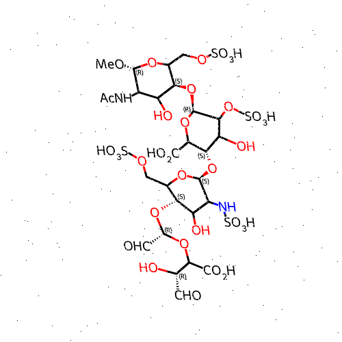 CO[C@@H]1OC(COS(=O)(=O)O)[C@@H](O[C@@H]2OC(C(=O)O)[C@@H](O[C@@H]3OC(COS(=O)(=O)O)[C@@H](O[C@@H](C=O)OC(C(=O)O)[C@@H](O)C=O)C(O)C3NS(=O)(=O)O)C(O)C2OS(=O)(=O)O)C(O)C1NC(C)=O